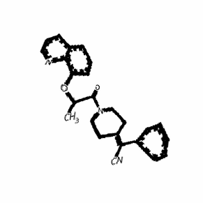 CC(Oc1cccc2cccnc12)C(=O)N1CCC(=C(C#N)c2ccccc2)CC1